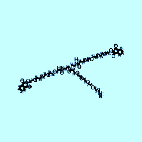 [N-]=[N+]=NCCOCCOCCOCCOCCC(=O)N(CCNC(=O)CCOCCOCCOCCOCCON1C(=O)c2ccccc2C1=O)CCNC(=O)CCOCCOCCOCCOCCON1C(=O)c2ccccc2C1=O